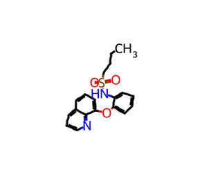 CCCCS(=O)(=O)Nc1ccccc1Oc1cccc2cccnc12